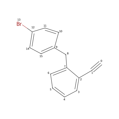 C#Cc1ccccc1Cc1ccc(Br)cc1